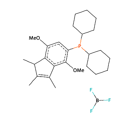 COc1cc(P(C2CCCCC2)C2CCCCC2)c(OC)c2c1C(C)C(C)=C2C.FB(F)F